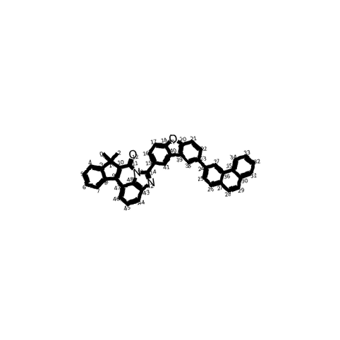 CC1(C)c2ccccc2-c2c1c(=O)n1c(-c3ccc4oc5ccc(-c6ccc7ccc8ccccc8c7c6)cc5c4c3)nc3cccc2c31